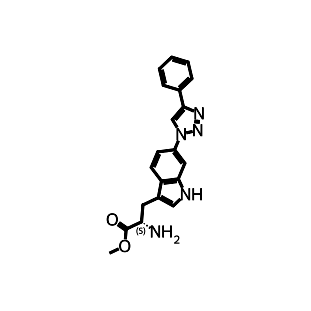 COC(=O)[C@@H](N)Cc1c[nH]c2cc(-n3cc(-c4ccccc4)nn3)ccc12